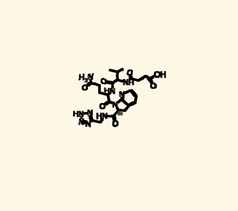 CC(C)C(NC(=O)CCC(=O)O)C(=O)NC(CCC(N)=O)C(=O)N1c2ncccc2C[C@H]1C(=O)NCc1nn[nH]n1